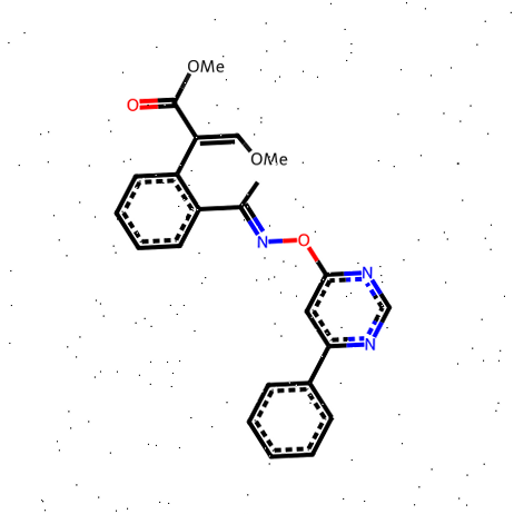 CO/C=C(/C(=O)OC)c1ccccc1C(C)=NOc1cc(-c2ccccc2)ncn1